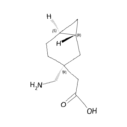 NC[C@]1(CC(=O)O)CC[C@H]2C[C@@H]2C1